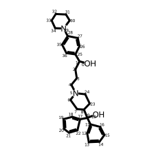 OC(CCCN1CCC(C(O)(c2ccccc2)c2ccccc2)CC1)c1ccc(N2CCCCC2)cc1